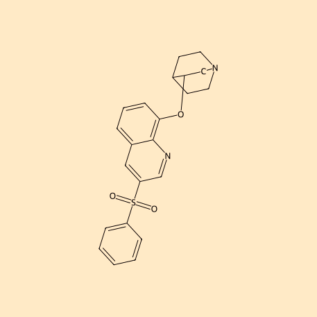 O=S(=O)(c1ccccc1)c1cnc2c(OC3CN4CCC3CC4)cccc2c1